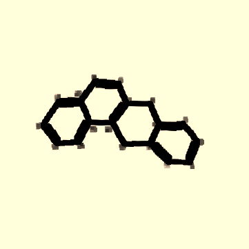 c1ccc2c(c1)Cc1ccc3ccccc3c1C2